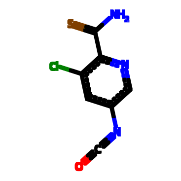 NC(=S)c1ncc(N=C=O)cc1Cl